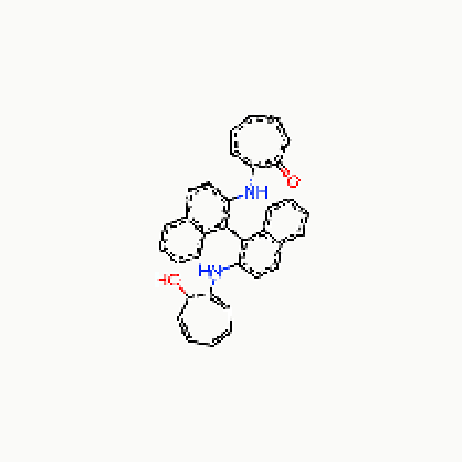 O=c1cccccc1Nc1ccc2ccccc2c1-c1c(NC2=CC=CC=CC2O)ccc2ccccc12